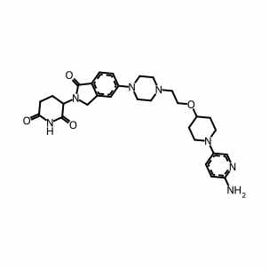 Nc1ccc(N2CCC(OCCN3CCN(c4ccc5c(c4)CN(C4CCC(=O)NC4=O)C5=O)CC3)CC2)cn1